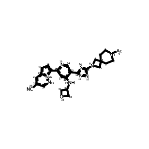 CC(=O)N1CCC2(CC1)CN(c1nnc(-c3cnc(-c4ccc5cc(C#N)cnn45)cc3NC3COC3)s1)C2